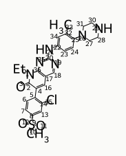 CCn1c(=O)c(-c2ccc(S(C)(=O)=O)cc2Cl)cc2cnc(Nc3ccc(N4CCNCC4)c(C)c3)nc21